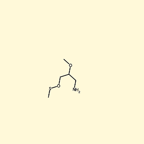 COC(CN)COSC